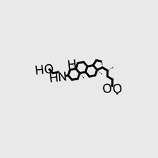 COC(=O)CC[C@@H](C)[C@H]1CCC2C3CC[C@@H]4CC(NCCO)CC[C@]4(C)C3CC[C@@]21C